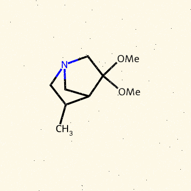 COC1(OC)CN2CC(C)C1C2